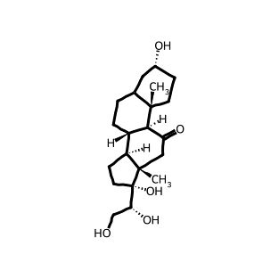 C[C@]12CC[C@@H](O)CC1CC[C@@H]1[C@@H]2C(=O)C[C@@]2(C)[C@H]1CC[C@]2(O)[C@H](O)CO